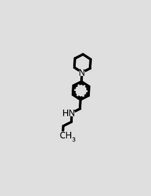 CCCNCc1ccc(N2CCCCC2)cc1